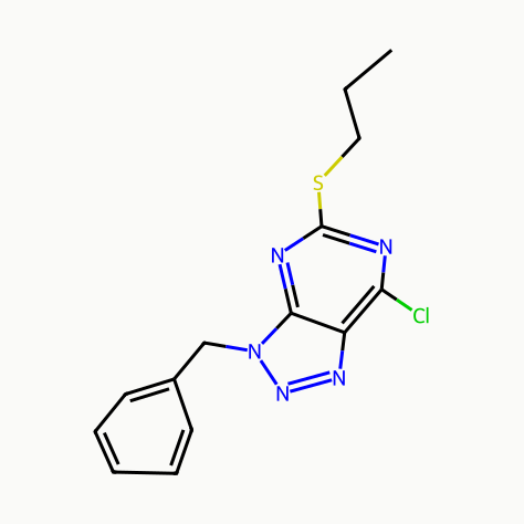 CCCSc1nc(Cl)c2nnn(Cc3ccccc3)c2n1